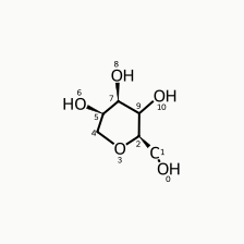 OC[C@H]1OC[C@@H](O)[C@@H](O)C1O